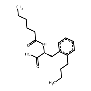 CCCCCC(=O)N[C@@H](Cc1ccccc1CCCC)C(=O)O